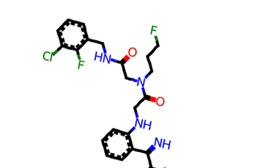 N=C(C(N)=O)c1ccccc1NCC(=O)N(CCCF)CC(=O)NCc1cccc(Cl)c1F